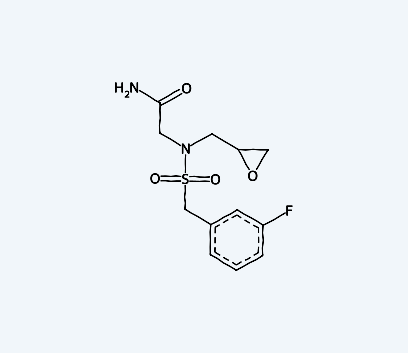 NC(=O)CN(CC1CO1)S(=O)(=O)Cc1cccc(F)c1